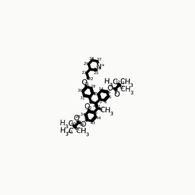 CC1=C(c2ccc(OC(=O)C(C)(C)C)cc2)C(c2ccc(OCCC3C#[N+]CCC3)cc2)Oc2cc(OC(=O)C(C)(C)C)ccc21